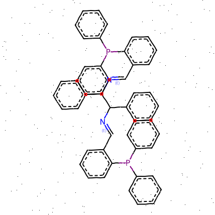 C(=N\C(c1ccccc1)C(/N=C/c1ccccc1P(c1ccccc1)c1ccccc1)c1ccccc1)/c1ccccc1P(c1ccccc1)c1ccccc1